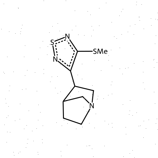 CSc1nsnc1C1CN2CCC1C2